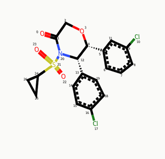 O=C1CO[C@H](c2cccc(Cl)c2)[C@H](c2ccc(Cl)cc2)N1S(=O)(=O)C1CC1